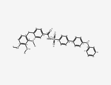 COc1ccc(Cc2ccc(C(=O)NS(=O)(=O)c3ccc(-c4ccc(Oc5ccccc5)cc4)cc3)cc2)c(OC)c1OC